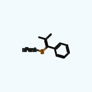 CCCCCSC(=C(C)C)c1ccccc1